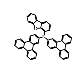 c1ccc2c(c1)oc1c(N(c3ccc4c5ccccc5c5ccccc5c4c3)c3ccc4c5ccccc5c5ccccc5c4c3)cccc12